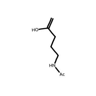 C=C(O)CCCNC(C)=O